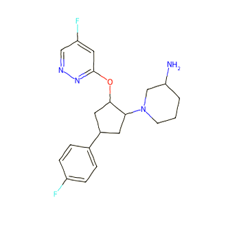 NC1CCCN(C2CC(c3ccc(F)cc3)CC2Oc2cc(F)cnn2)C1